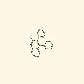 Cc1nc2ccccc2c(-c2ccccc2)c1-c1ccccc1